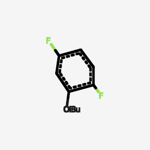 CC(C)COc1cc(F)ccc1F